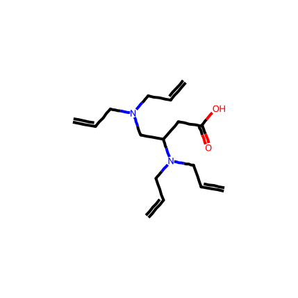 C=CCN(CC=C)CC(CC(=O)O)N(CC=C)CC=C